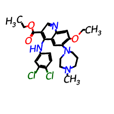 CCOC(=O)c1cnc2cc(OCC)c(N3CCCN(C)CC3)cc2c1Nc1ccc(Cl)c(Cl)c1